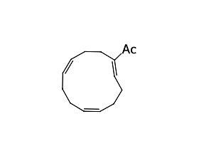 CC(=O)/C1=C\CC/C=C\CC/C=C\CC1